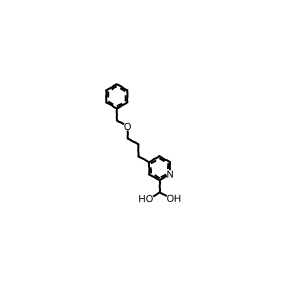 OC(O)c1cc(CCCOCc2ccccc2)ccn1